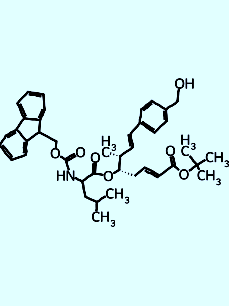 CC(C)CC(NC(=O)OCC1c2ccccc2-c2ccccc21)C(=O)O[C@@H](C/C=C/C(=O)OC(C)(C)C)[C@H](C)/C=C/c1ccc(CO)cc1